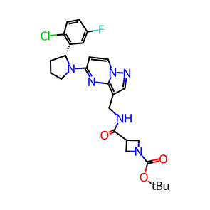 CC(C)(C)OC(=O)N1CC(C(=O)NCc2cnn3ccc(N4CCC[C@@H]4c4cc(F)ccc4Cl)nc23)C1